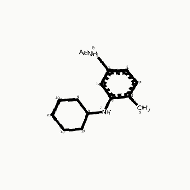 CC(=O)Nc1ccc(C)c(NC2CCCCC2)c1